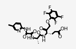 Cc1ccc(NC(=O)C(=O)N[C@@H](C)C(=O)N[C@@H](CCC(=O)O)C(=O)COc2c(F)c(F)cc(F)c2F)nc1